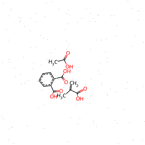 C=C(C)C(=O)O.CC(=O)O.O=C(O)c1ccccc1C(=O)O